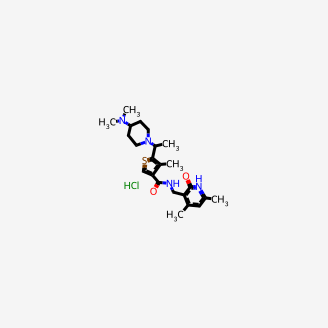 Cc1cc(C)c(CNC(=O)c2csc(C(C)N3CCC(N(C)C)CC3)c2C)c(=O)[nH]1.Cl